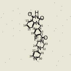 O=C(c1cc(Cn2c(=O)[nH]c(=O)c3ccccc32)ccc1F)N1CCN(c2ccncc2)CC1